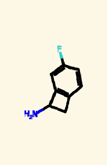 NC1Cc2ccc(F)cc21